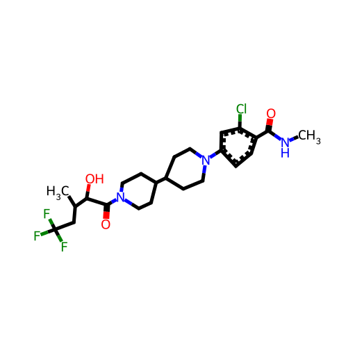 CNC(=O)c1ccc(N2CCC(C3CCN(C(=O)C(O)C(C)CC(F)(F)F)CC3)CC2)cc1Cl